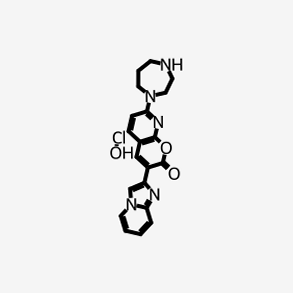 O=c1oc2nc(N3CCCNCC3)ccc2cc1-c1cn2ccccc2n1.OCl